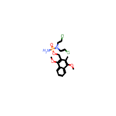 COc1c(C)c(COP(N)(=O)N(CCCl)CCCl)c(OC)c2ccccc12